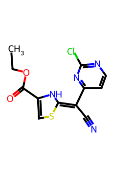 CCOC(=O)C1=CS/C(=C(\C#N)c2ccnc(Cl)n2)N1